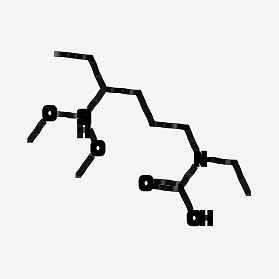 CCC(CCCN(CC)C(=O)O)[SiH](OC)OC